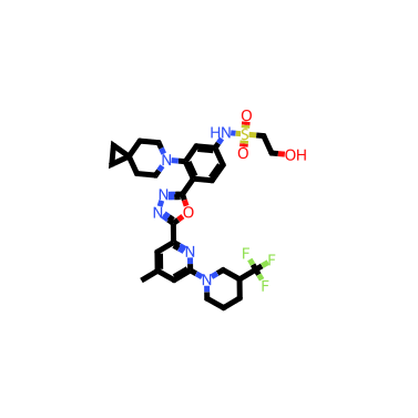 Cc1cc(-c2nnc(-c3ccc(NS(=O)(=O)CCO)cc3N3CCC4(CC3)CC4)o2)nc(N2CCCC(C(F)(F)F)C2)c1